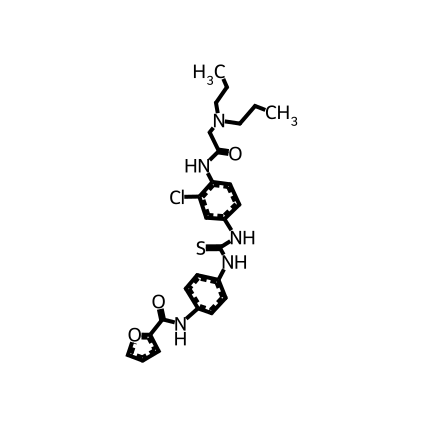 CCCN(CCC)CC(=O)Nc1ccc(NC(=S)Nc2ccc(NC(=O)c3ccco3)cc2)cc1Cl